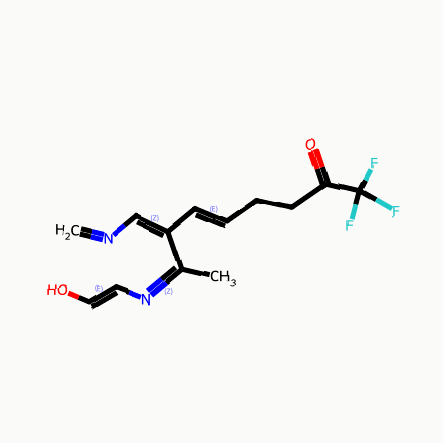 C=N/C=C(/C=C/CCC(=O)C(F)(F)F)C(\C)=N/C=C/O